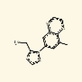 NCc1ncnn1-c1cc(F)c2nccnc2c1